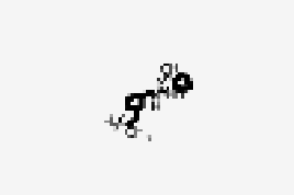 COc1ccccc1NC(=S)NCc1cccc(CC(C)C)c1